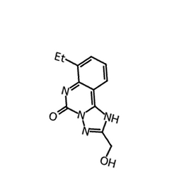 CCc1cccc2c1nc(=O)n1nc(CO)[nH]c21